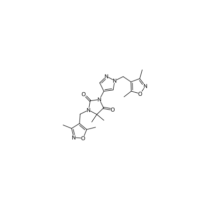 Cc1noc(C)c1CN1C(=O)N(c2cnn(Cc3c(C)noc3C)c2)C(=O)C1(C)C